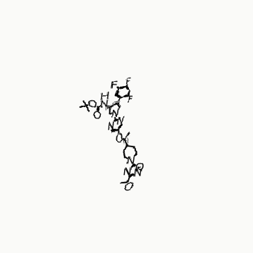 CC(=O)c1noc(N2CCC([C@H](C)Oc3cnc(N4C[C@H](NC(=O)OC(C)(C)C)[C@@H](c5cc(F)c(F)cc5F)C4)nc3)CC2)n1